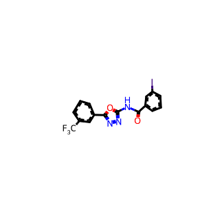 O=C(Nc1nnc(-c2cccc(C(F)(F)F)c2)o1)c1cccc(I)c1